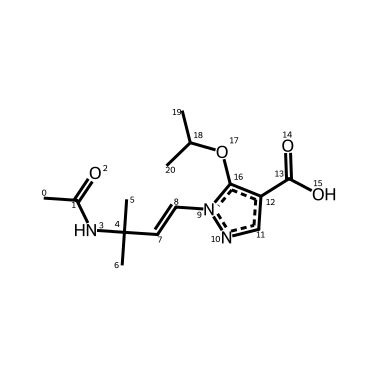 CC(=O)NC(C)(C)/C=C/n1ncc(C(=O)O)c1OC(C)C